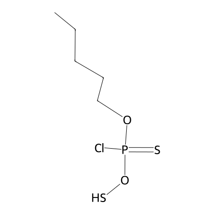 CCCCCOP(=S)(Cl)OS